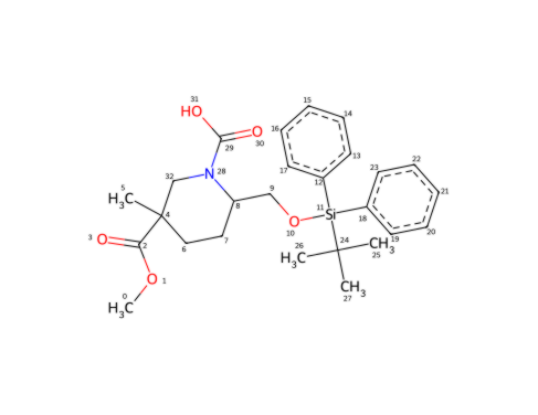 COC(=O)C1(C)CCC(CO[Si](c2ccccc2)(c2ccccc2)C(C)(C)C)N(C(=O)O)C1